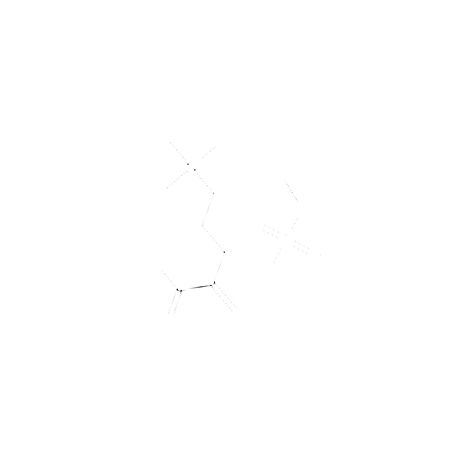 C=C(CCC[N+](C)(C)C)C(=O)O.COS(=O)(=O)[O-]